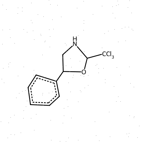 ClC(Cl)(Cl)C1NCC(c2ccccc2)O1